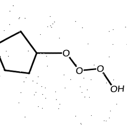 OOOOC1CCCC1